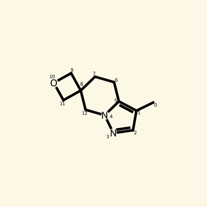 Cc1cnn2c1CCC1(COC1)C2